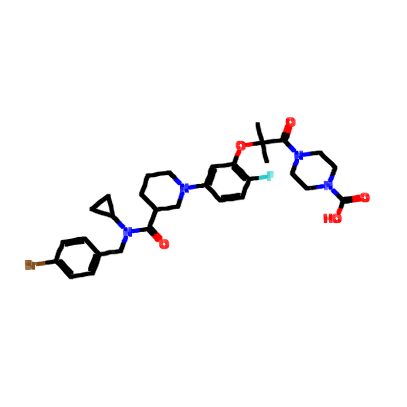 CC(C)(Oc1cc(N2CCCC(C(=O)N(Cc3ccc(Br)cc3)C3CC3)C2)ccc1F)C(=O)N1CCN(C(=O)O)CC1